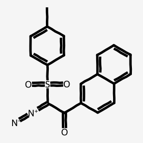 Cc1ccc(S(=O)(=O)C(=[N+]=[N-])C(=O)c2ccc3ccccc3c2)cc1